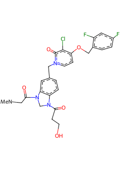 CNCC(=O)N1CN(C(=O)CCO)c2ccc(Cn3ccc(OCc4ccc(F)cc4F)c(Cl)c3=O)cc21